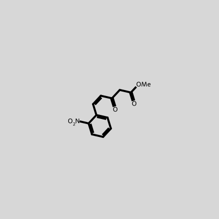 COC(=O)CC(=O)/C=C\c1ccccc1[N+](=O)[O-]